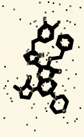 CN1CCN(c2cc(N3CCOCC3)cn3c(=O)c(OCc4ccccc4)c(-c4ncc(Cc5ccc(F)c(F)c5)[nH]4)nc23)C1=O